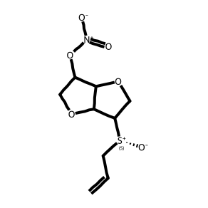 C=CC[S@@+]([O-])C1COC2C(O[N+](=O)[O-])COC21